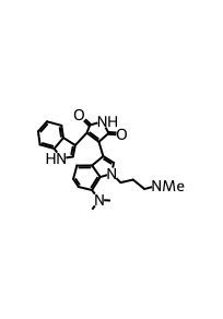 CNCCCn1cc(C2=C(c3c[nH]c4ccccc34)C(=O)NC2=O)c2cccc(N(C)C)c21